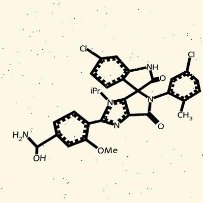 COc1cc(C(N)O)ccc1-c1nc2c(n1C(C)C)C1(C(=O)Nc3cc(Cl)ccc31)N(c1cc(Cl)ccc1C)C2=O